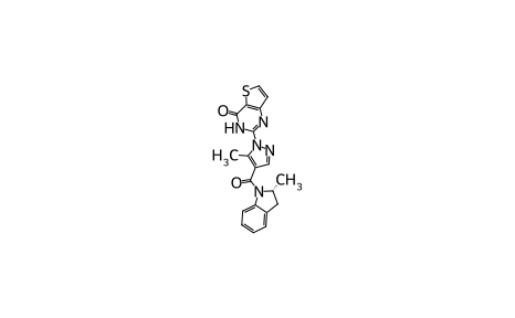 Cc1c(C(=O)N2c3ccccc3C[C@H]2C)cnn1-c1nc2ccsc2c(=O)[nH]1